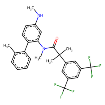 CNc1ccc(-c2ccccc2C)c(N(C)C(=O)C(C)(C)c2cc(C(F)(F)F)cc(C(F)(F)F)c2)c1